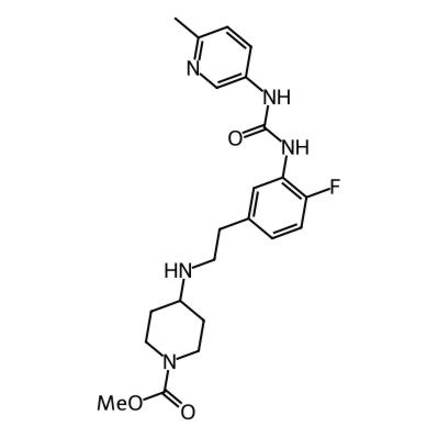 COC(=O)N1CCC(NCCc2ccc(F)c(NC(=O)Nc3ccc(C)nc3)c2)CC1